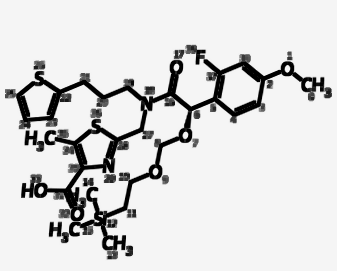 COc1ccc([C@@H](OCOCC[Si](C)(C)C)C(=O)N(CCCc2cccs2)Cc2nc(C(=O)O)c(C)s2)c(F)c1